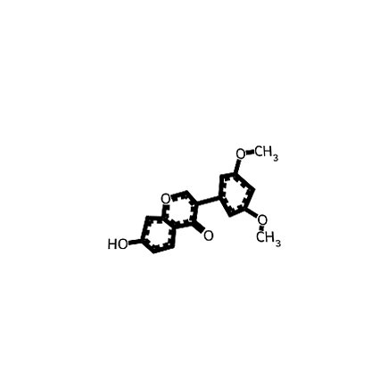 COc1cc(OC)cc(-c2coc3cc(O)ccc3c2=O)c1